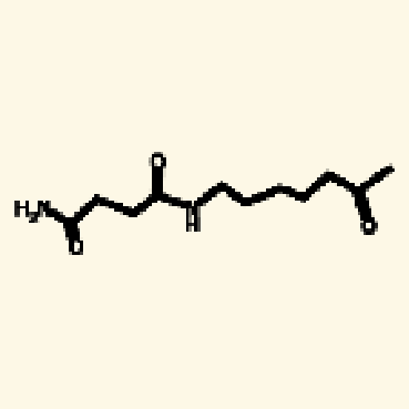 CC(=O)CCCCCNC(=O)CCC(N)=O